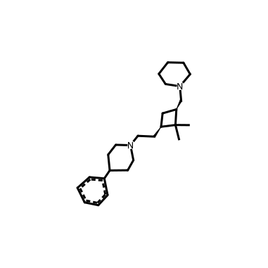 CC1(C)[C@@H](CCN2CCC(c3ccccc3)CC2)C[C@H]1CN1CCCCC1